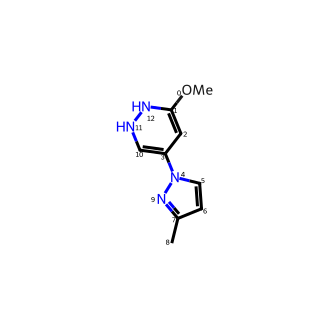 COC1=CC(n2ccc(C)n2)=CNN1